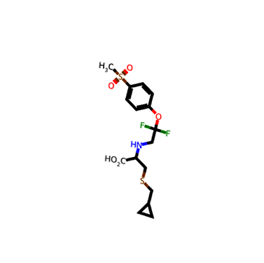 CS(=O)(=O)c1ccc(OC(F)(F)CNC(CSCC2CC2)C(=O)O)cc1